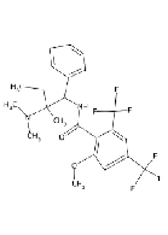 CCC(C)(C(NC(=O)c1c(OC)cc(C(F)(F)F)cc1C(F)(F)F)c1ccccc1)N(C)C